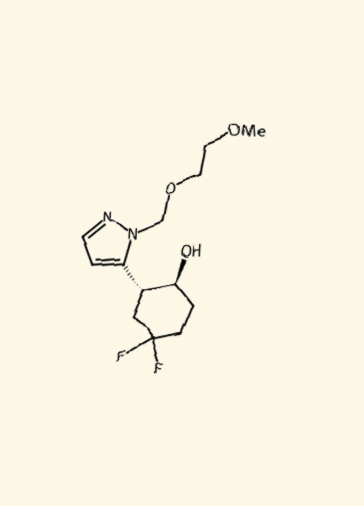 COCCOCn1nccc1[C@H]1CC(F)(F)CC[C@@H]1O